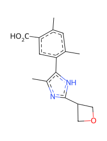 Cc1cc(C)c(-c2[nH]c(C3COC3)nc2C)cc1C(=O)O